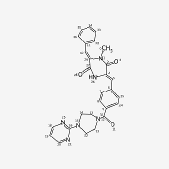 Cn1c(=O)/c(=C/c2ccc(C(=O)N3CCN(c4ncccn4)CC3)cc2)[nH]c(=O)/c1=C/c1ccccc1